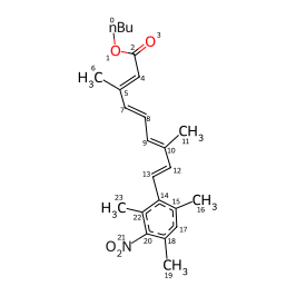 CCCCOC(=O)C=C(C)C=CC=C(C)C=Cc1c(C)cc(C)c([N+](=O)[O-])c1C